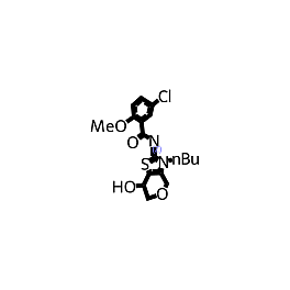 CCCCn1c2c(s/c1=N\C(=O)c1cc(Cl)ccc1OC)C(O)COC2